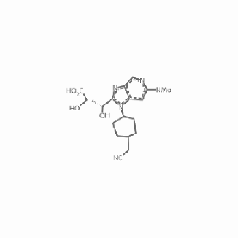 CNc1cc2c(cn1)nc([C@@H](C)O)n2C1CCC(CC#N)CC1.O=C(O)CO